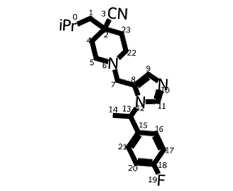 CC(C)CC1(C#N)CCN(Cc2cncn2C(C)c2ccc(F)cc2)CC1